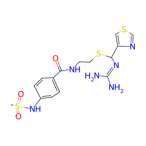 CS(=O)(=O)Nc1ccc(C(=O)NCCSC(N=C(N)N)c2cscn2)cc1